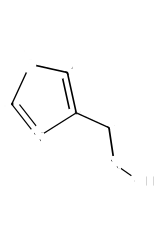 ONCc1cscn1